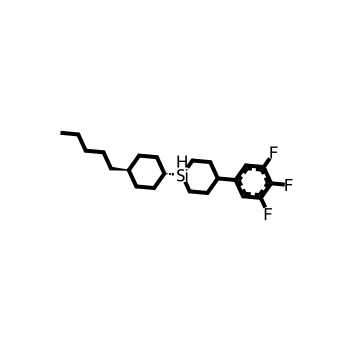 CCCCC[C@H]1CC[C@H]([SiH]2CCC(c3cc(F)c(F)c(F)c3)CC2)CC1